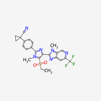 CCS(=O)(=O)c1c(-c2nc3cc(C(F)(F)F)ncc3n2C)nc(-c2ccc(C3(C#N)CC3)cc2)n1C